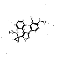 COc1ccc(-c2noc(C3(CO)CC3)c2-c2ccccc2)cc1F